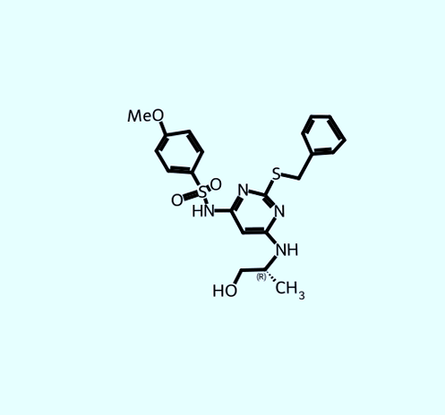 COc1ccc(S(=O)(=O)Nc2cc(N[C@H](C)CO)nc(SCc3ccccc3)n2)cc1